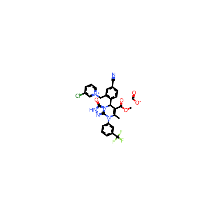 COC(=O)C1=C(C)N(c2cccc(C(F)(F)F)c2)c2n[nH]c(=O)n2C1c1ccc(C#N)cc1C[n+]1cccc(Cl)c1.O=C[O-]